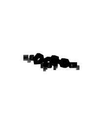 Cc1ccc(-c2ccc3c(c2F)OC(F)(F)C(C2CCC(C)CC2)C3)cc1